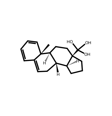 C[C@]12C=CC=CC1=CC[C@H]1[C@@H]3CCC[C@@]3(C(O)(O)O)CC[C@@H]12